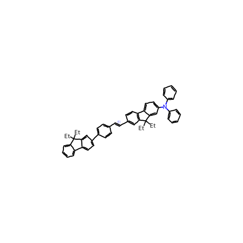 CCC1(CC)c2ccccc2-c2ccc(-c3ccc(/C=C/c4ccc5c(c4)C(CC)(CC)c4cc(N(c6ccccc6)c6ccccc6)ccc4-5)cc3)cc21